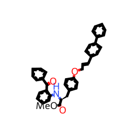 COC(=O)[C@H](Cc1ccc(OCC=Cc2ccc(-c3ccccc3)cc2)cc1)Nc1ccccc1C(=O)c1ccccc1